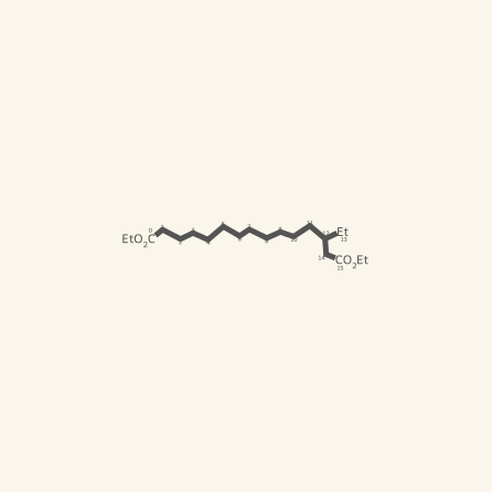 CCOC(=O)CCCCCCCCCCCC(CC)CC(=O)OCC